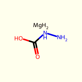 NNC(=O)O.[MgH2]